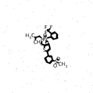 CC(C)CN(Cc1ccc(-c2cccc(S(C)(=O)=O)c2)s1)S(=O)(=O)c1ccccc1C(F)(F)F